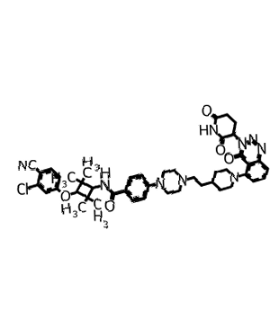 CC1(C)C(NC(=O)c2ccc(N3CCN(CCC4CCN(c5cccc6nnn(C7CCC(=O)NC7=O)c(=O)c56)CC4)CC3)cc2)C(C)(C)C1Oc1ccc(C#N)c(Cl)c1